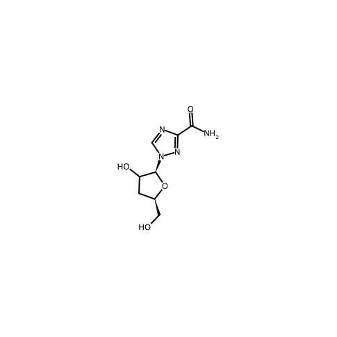 NC(=O)c1ncn([C@H]2O[C@@H](CO)CC2O)n1